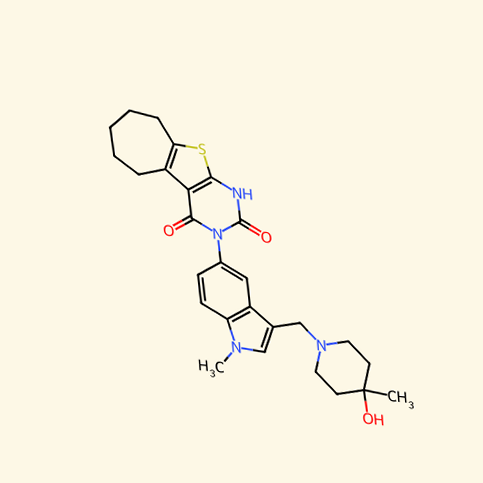 Cn1cc(CN2CCC(C)(O)CC2)c2cc(-n3c(=O)[nH]c4sc5c(c4c3=O)CCCCC5)ccc21